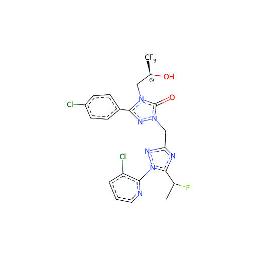 CC(F)c1nc(Cn2nc(-c3ccc(Cl)cc3)n(C[C@H](O)C(F)(F)F)c2=O)nn1-c1ncccc1Cl